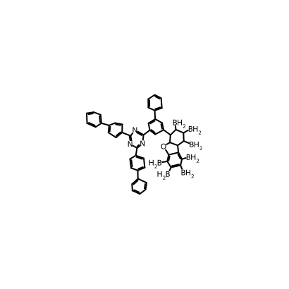 Bc1c(B)c(B)c2c(c1B)OC1C(c3cc(-c4ccccc4)cc(-c4nc(-c5ccc(-c6ccccc6)cc5)nc(-c5ccc(-c6ccccc6)cc5)n4)c3)C(B)C(B)C(B)C21